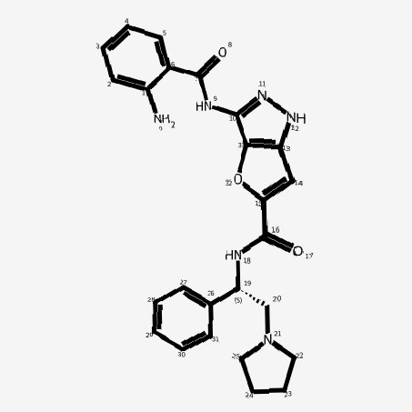 Nc1ccccc1C(=O)Nc1n[nH]c2cc(C(=O)N[C@H](CN3CCCC3)c3ccccc3)oc12